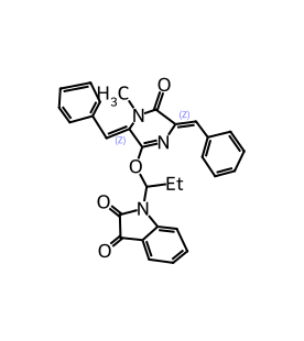 CCC(Oc1n/c(=C\c2ccccc2)c(=O)n(C)/c1=C\c1ccccc1)N1C(=O)C(=O)c2ccccc21